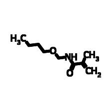 C=C(C)C(=O)NCOCCCC